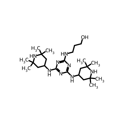 CC1(C)CC(Nc2nc(NCCCO)nc(NC3CC(C)(C)NC(C)(C)C3)n2)CC(C)(C)N1